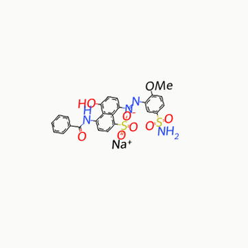 COc1ccc(S(N)(=O)=O)cc1N=Nc1ccc(O)c2c(NC(=O)c3ccccc3)ccc(S(=O)(=O)[O-])c12.[Na+]